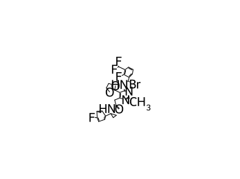 Cc1nc(CC(=O)NC2(c3ccc(F)cc3)CC2)c(C2OCCO2)c(NC(Br)c2cccc(C(F)F)c2F)n1